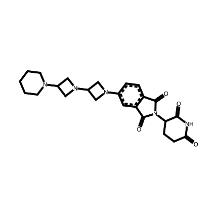 O=C1CCC(N2C(=O)c3ccc(N4CC(N5CC(N6CCCCC6)C5)C4)cc3C2=O)C(=O)N1